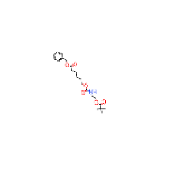 CC(C)(C)C(=O)OCCNC(=O)OCCCCCC(=O)OCc1ccccc1